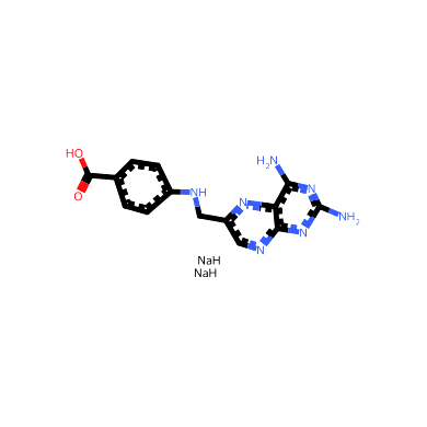 Nc1nc(N)c2nc(CNc3ccc(C(=O)O)cc3)cnc2n1.[NaH].[NaH]